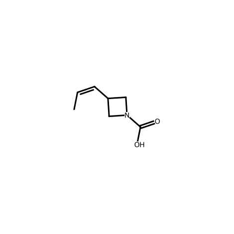 C/C=C\C1CN(C(=O)O)C1